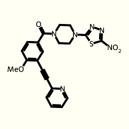 COc1ccc(C(=O)N2CCN(c3nnc([N+](=O)[O-])s3)CC2)cc1C#Cc1ccccn1